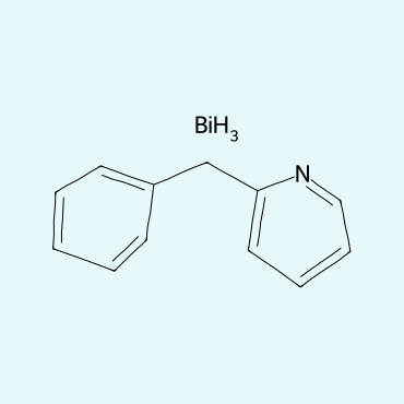 [BiH3].c1ccc(Cc2ccccn2)cc1